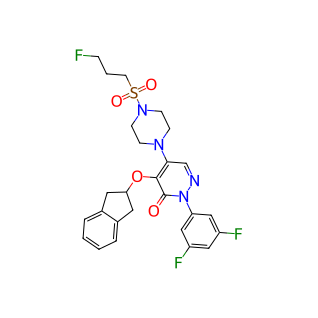 O=c1c(OC2Cc3ccccc3C2)c(N2CCN(S(=O)(=O)CCCF)CC2)cnn1-c1cc(F)cc(F)c1